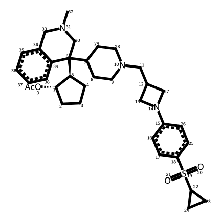 CC(=O)O[C@H]1CCC[C@@H]1C1(C2CCN(CC3CN(c4ccc(S(=O)(=O)C5CC5)cc4)C3)CC2)CN(C)Cc2ccccc21